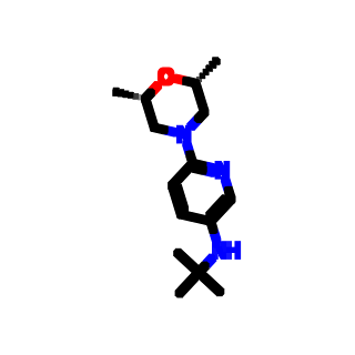 C[C@@H]1CN(c2ccc(NC(C)(C)C)cn2)C[C@H](C)O1